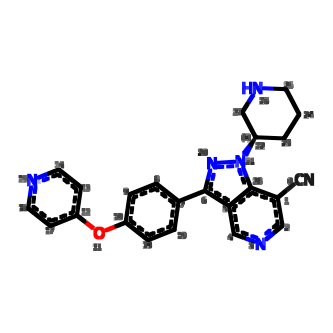 N#Cc1cncc2c(-c3ccc(Oc4ccncc4)cc3)nn([C@@H]3CCCNC3)c12